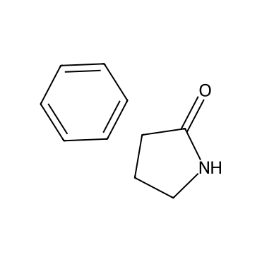 O=C1CCCN1.c1ccccc1